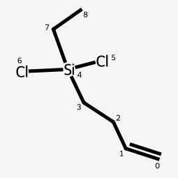 C=CCC[Si](Cl)(Cl)CC